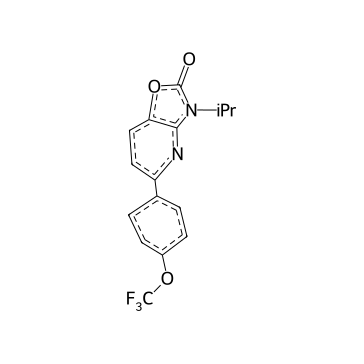 CC(C)n1c(=O)oc2ccc(-c3ccc(OC(F)(F)F)cc3)nc21